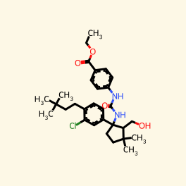 CCOC(=O)c1ccc(NC(=O)NC2(c3ccc(CCC(C)(C)C)c(Cl)c3)CCC(C)(C)C2CO)cc1